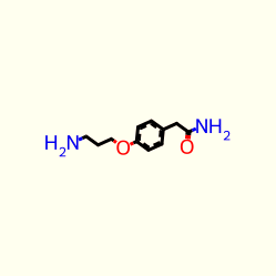 NCCCOc1ccc(CC(N)=O)cc1